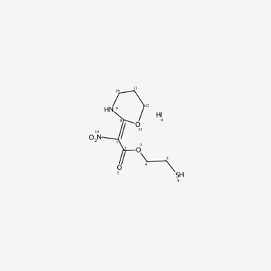 I.O=C(OCCS)C(=C1NCCCO1)[N+](=O)[O-]